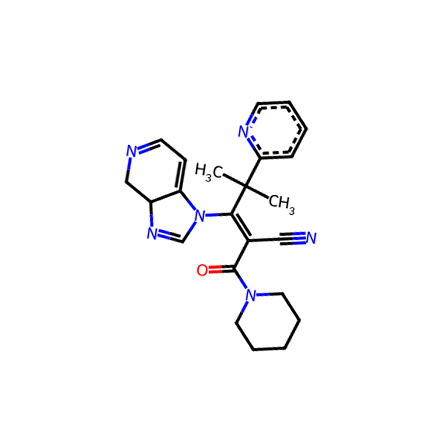 CC(C)(C(=C(C#N)C(=O)N1CCCCC1)N1C=NC2CN=CC=C21)c1ccccn1